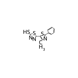 Cc1nc(-c2ccccc2)sc1-c1nnc(S)s1